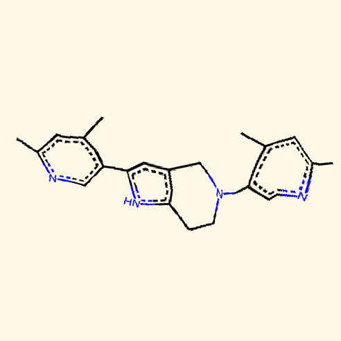 Cc1cc(C)c(-c2cc3c([nH]2)CCN(c2cnc(C)cc2C)C3)cn1